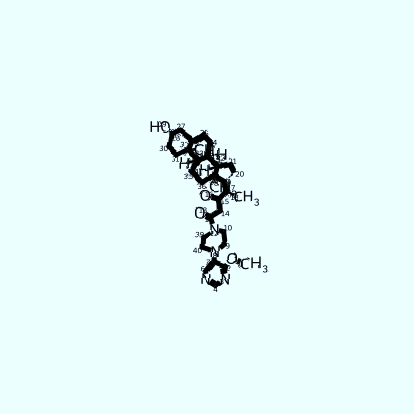 COc1ncncc1N1CCN(C(=O)CC(=O)[C@H](C)[C@H]2CC[C@H]3[C@@H]4CC=C5C[C@@H](O)CC[C@]5(C)[C@H]4CC[C@@]23C)CC1